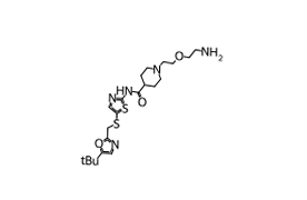 CC(C)(C)c1cnc(CSc2cnc(NC(=O)C3CCN(CCOCCN)CC3)s2)o1